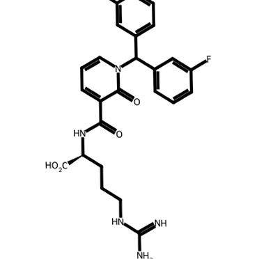 N=C(N)NCCC[C@H](NC(=O)c1cccn(C(c2cccc(F)c2)c2cccc(F)c2)c1=O)C(=O)O